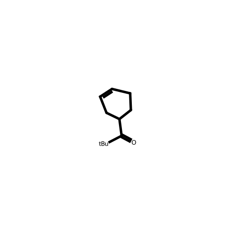 CC(C)(C)C(=O)C1CC=CCC1